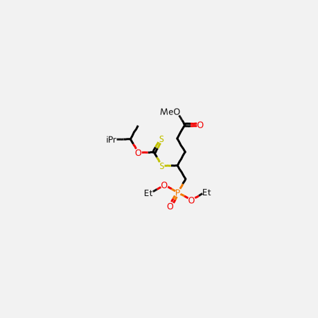 CCOP(=O)(CC(CCC(=O)OC)SC(=S)OC(C)C(C)C)OCC